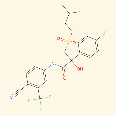 CC(C)CCS(=O)(=O)CC(O)(C(=O)Nc1ccc(C#N)c(C(F)(F)F)c1)c1ccc(F)cc1